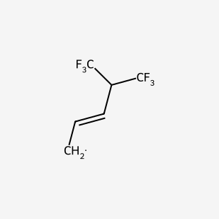 [CH2]C=CC(C(F)(F)F)C(F)(F)F